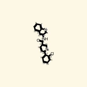 O=C(Nc1cnc2ccccc2c1)c1ccc(-c2ccccc2Cl)nc1